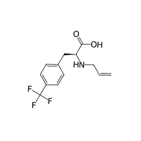 C=CCN[C@@H](Cc1ccc(C(F)(F)F)cc1)C(=O)O